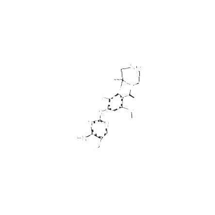 CNc1nc(Nc2cc(OC)c(C(=O)N3CCNCC3(C)C)cc2Cl)ncc1Cl